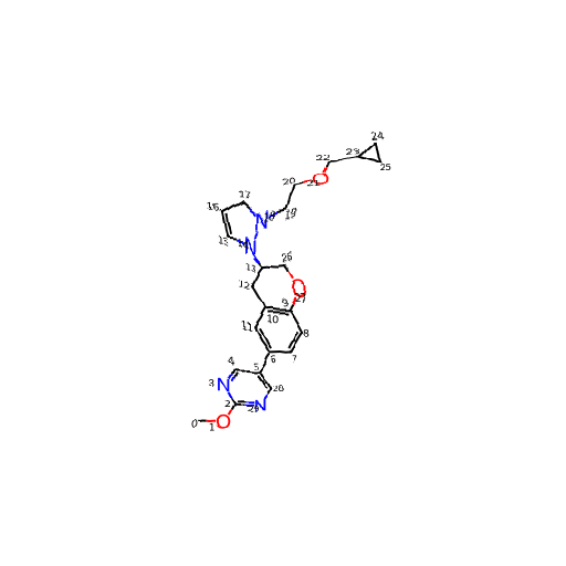 COc1ncc(-c2ccc3c(c2)C[C@@H](N2C=CCN2CCOCC2CC2)CO3)cn1